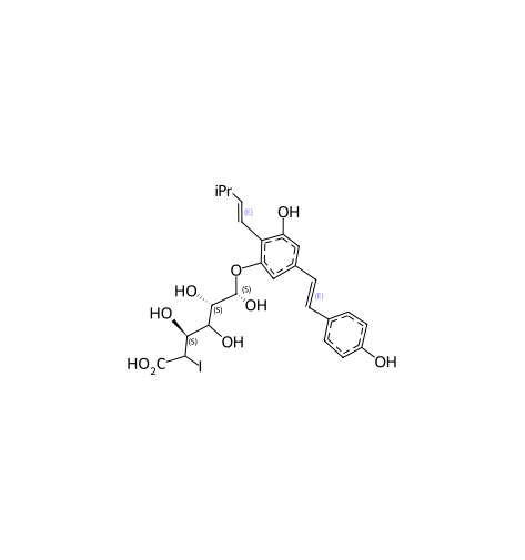 CC(C)/C=C/c1c(O)cc(/C=C/c2ccc(O)cc2)cc1O[C@H](O)[C@@H](O)C(O)[C@H](O)C(I)C(=O)O